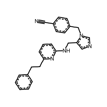 N#Cc1ccc(Cn2cncc2CNc2cccc(CCc3ccccc3)n2)cc1